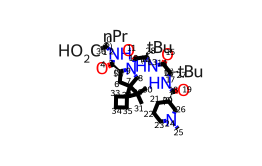 CCC[C@@H](NC(=O)[C@@H]1CC2(CN1C(=O)[C@H](NC(=O)[C@@H](NC(=O)[C@H]1CCCN(C)C1)C(C)(C)C)C(C)(C)C)C(C)(C)C21CCC1)C(=O)O